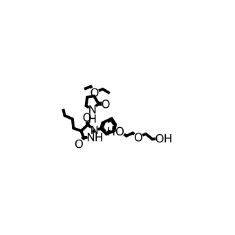 CCCCC1C(=O)NN(c2ccccc2)C1=O.CCOCC.O=C1CCCN1.OCCOCCO